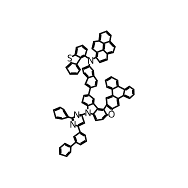 c1ccc(-c2cccc(-c3cc(-n4c5ccc(-c6ccc7cc(N(c8ccc9ccc%10cccc%11ccc8c9c%10%11)c8cccc9sc%10ccccc%10c89)ccc7c6)cc5c5c6c(ccc54)oc4cc5c7ccccc7c7ccccc7c5cc46)nc(-c4ccccc4)n3)c2)cc1